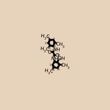 Cc1cc(C)c(NC(=O)C(=O)Nc2cc(C)cc(C)c2O)c(C)c1